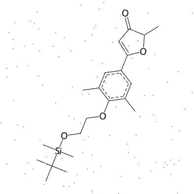 Cc1cc(C2=CC(=O)C(C)O2)cc(C)c1OCCO[Si](C)(C)C(C)(C)C